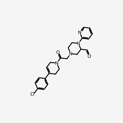 O=CC1CN(CC(=O)N2CC=C(c3ccc(Cl)cc3)CC2)CCN1c1ccccn1